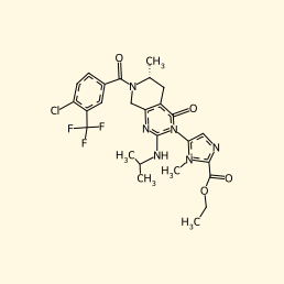 CCOC(=O)c1ncc(-n2c(NC(C)C)nc3c(c2=O)C[C@@H](C)N(C(=O)c2ccc(Cl)c(C(F)(F)F)c2)C3)n1C